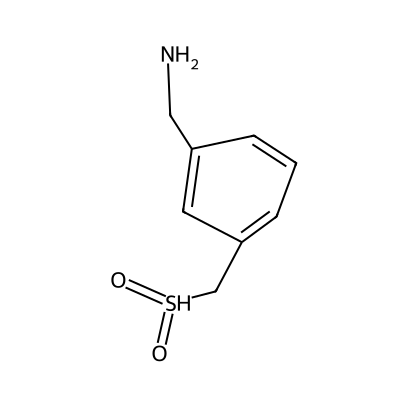 NCc1cccc(C[SH](=O)=O)c1